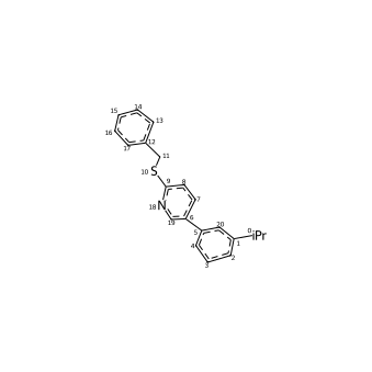 CC(C)c1cccc(-c2ccc(SCc3ccccc3)nc2)c1